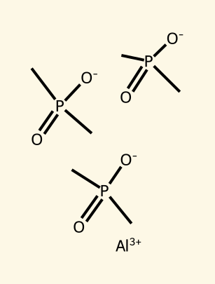 CP(C)(=O)[O-].CP(C)(=O)[O-].CP(C)(=O)[O-].[Al+3]